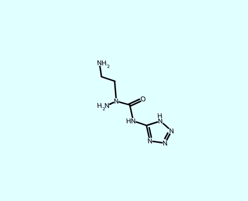 NCCN(N)C(=O)Nc1nnn[nH]1